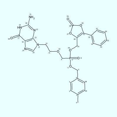 Cc1ccc(COP(=O)(COCCn2cnc3c(=O)[nH]c(N)nc32)OCc2oc(=O)oc2-c2ccccc2)cc1